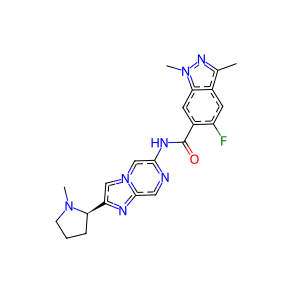 Cc1nn(C)c2cc(C(=O)Nc3cn4cc([C@H]5CCCN5C)nc4cn3)c(F)cc12